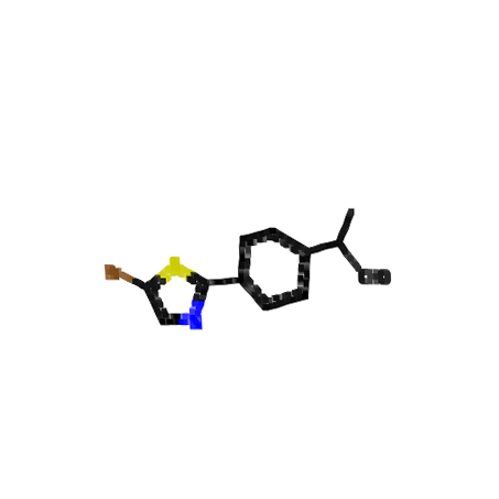 CC(C=O)c1ccc(-c2ncc(Br)s2)cc1